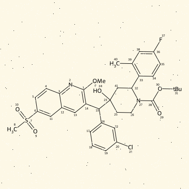 COc1nc2ccc(S(C)(=O)=O)cc2cc1C(c1cccc(Cl)c1)C1(O)CCN(C(=O)OC(C)(C)C)C(c2ccc(F)cc2C)C1